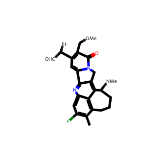 CCC(C=O)c1cc2n(c(=O)c1COC)Cc1c-2nc2cc(F)c(C)c3c2c1C(NC)CCC3